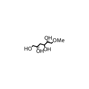 COC[C@@H](O)C(O)C[C@H](O)CO